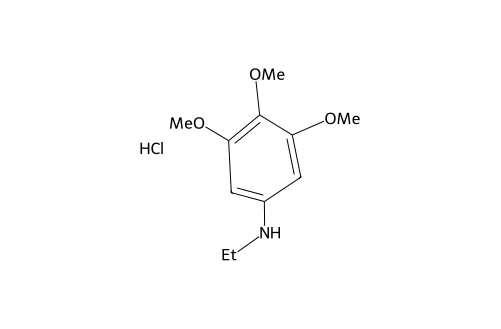 CCNc1cc(OC)c(OC)c(OC)c1.Cl